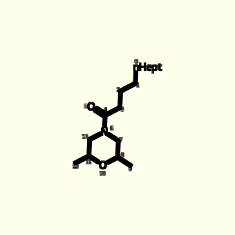 CCCCCCCCCCC(=O)N1CC(C)OC(C)C1